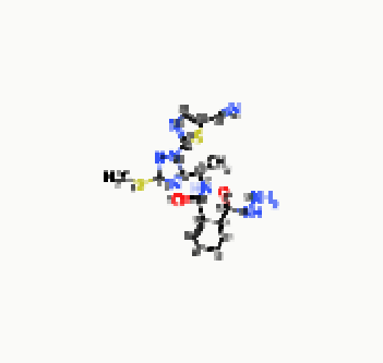 CSc1nc(C(C)NC(=O)c2ccccc2C(=O)NN)n(-c2ncc(C#N)s2)n1